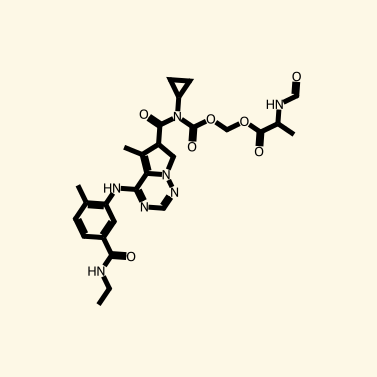 CCNC(=O)c1ccc(C)c(NC2=NC=NN3CC(C(=O)N(C(=O)OCOC(=O)C(C)NC=O)C4CC4)C(C)=C23)c1